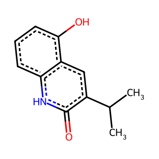 CC(C)c1cc2c(O)cccc2[nH]c1=O